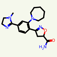 CN1CCN=C1c1ccc(C2=NOC(C(N)=O)C2)c(N2CCCCCC2)c1